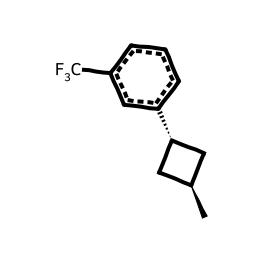 C[C@H]1C[C@H](c2cccc(C(F)(F)F)c2)C1